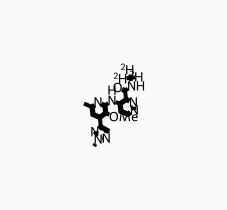 [2H]C([2H])([2H])NC(=O)c1nnccc1Nc1nc(C)cc(-c2cnn(C)n2)c1OC